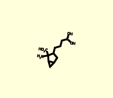 NC1(C(=O)O)C(CCCB(O)O)CC2CC21